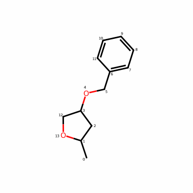 CC1CC(OCc2ccccc2)CO1